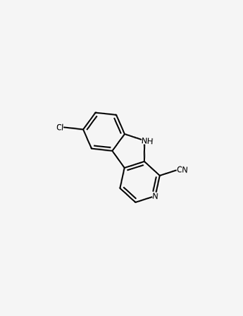 N#Cc1nccc2c1[nH]c1ccc(Cl)cc12